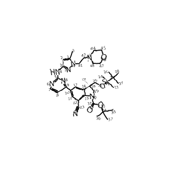 Cc1cc(Nc2nccc(-c3cc(C#N)c4c(c3)[C@@](C)(CO[Si](C)(C)C(C)(C)C)CN4C(=O)OC(C)(C)C)n2)nn1CCN1CCOCC1